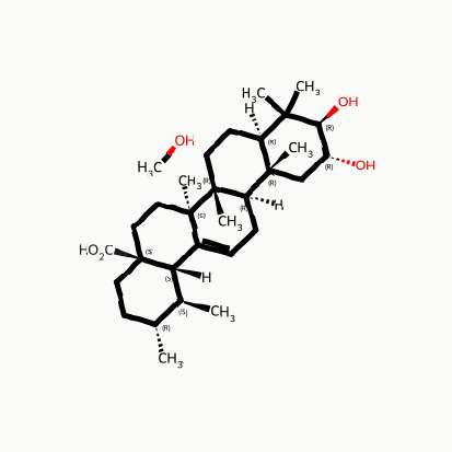 CO.C[C@H]1[C@H](C)CC[C@]2(C(=O)O)CC[C@]3(C)C(=CC[C@@H]4[C@@]5(C)C[C@@H](O)[C@H](O)C(C)(C)[C@@H]5CC[C@]43C)[C@H]12